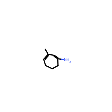 CC1=CCCCC(N)=C1